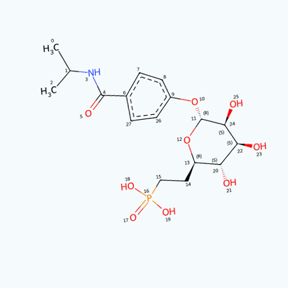 CC(C)NC(=O)c1ccc(O[C@H]2O[C@H](CCP(=O)(O)O)[C@@H](O)[C@H](O)[C@@H]2O)cc1